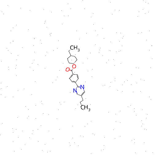 CCCc1cnc(-c2ccc(C(=O)OC3CCC(CC)CC3)cc2)nc1